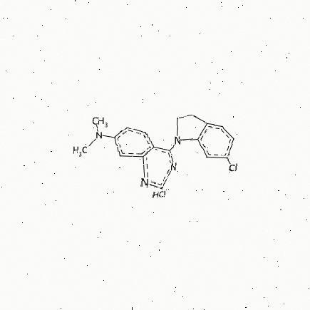 CN(C)c1ccc2c(N3CCc4ccc(Cl)cc43)ncnc2c1.Cl